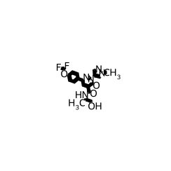 CC(CO)NC(=O)c1cc(-c2ccc(OC(F)F)cc2)nn(-c2cnn(C)c2)c1=O